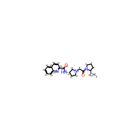 C[C@@H]1CCCN1C(=O)CN1CC[C@H](NC(=O)c2ccc3ccccc3n2)C1